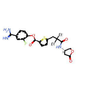 CCC(CC)(Cc1ccc(C(=O)Oc2ccc(C(=N)N)cc2F)s1)C(=O)N[C@@H]1COC(=O)C1